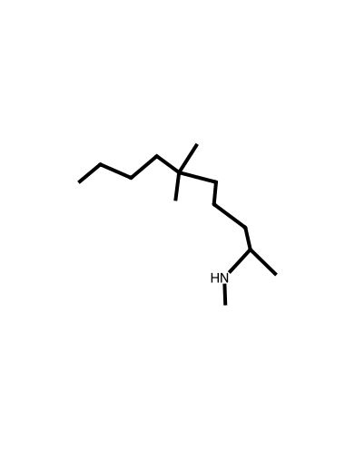 CCCCC(C)(C)CCCC(C)NC